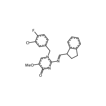 COc1cn(Cc2ccc(F)c(Cl)c2)c(/N=C/C2CCc3ccccc32)nc1=O